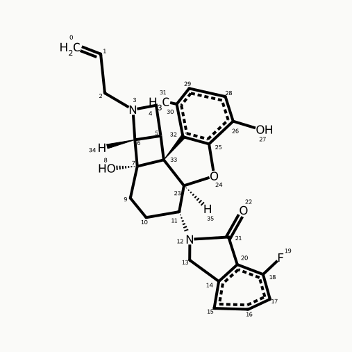 C=CCN1CC2[C@@H]1[C@]1(O)CC[C@@H](N3Cc4cccc(F)c4C3=O)[C@@H]3Oc4c(O)ccc(C)c4[C@@]231